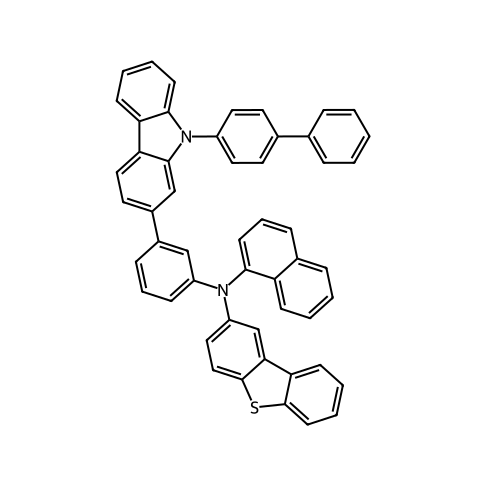 c1ccc(-c2ccc(-n3c4ccccc4c4ccc(-c5cccc(N(c6ccc7sc8ccccc8c7c6)c6cccc7ccccc67)c5)cc43)cc2)cc1